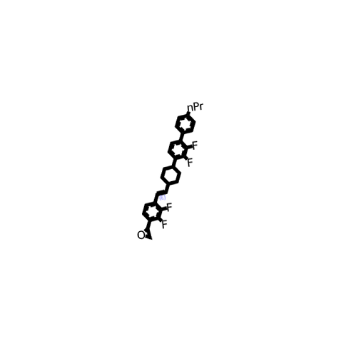 CCCc1ccc(-c2ccc(C3CCC(/C=C/c4ccc(C5CO5)c(F)c4F)CC3)c(F)c2F)cc1